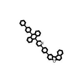 c1ccc(-c2ccc(-c3c4ccccc4c(-c4ccc(-c5ccc(-c6ccc7oc8ccc9ccccc9c8c7c6)cc5)nc4)c4ccccc34)cc2)cc1